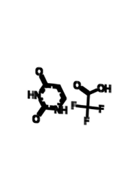 O=C(O)C(F)(F)F.O=c1cc[nH]c(=O)[nH]1